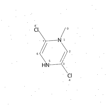 CN1C=C(Cl)NC=C1Cl